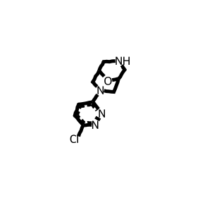 Clc1ccc(N2CC3CNCC(C2)O3)nn1